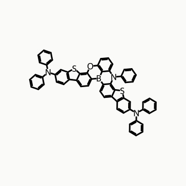 c1ccc(N(c2ccccc2)c2ccc3c(c2)sc2c4c(ccc23)B2c3ccc5c(sc6cc(N(c7ccccc7)c7ccccc7)ccc65)c3N(c3ccccc3)c3cccc(c32)O4)cc1